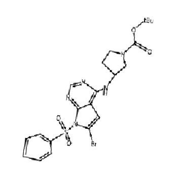 CC(C)(C)OC(=O)N1CCC(Nc2ncnc3c2cc(Br)n3S(=O)(=O)c2ccccc2)C1